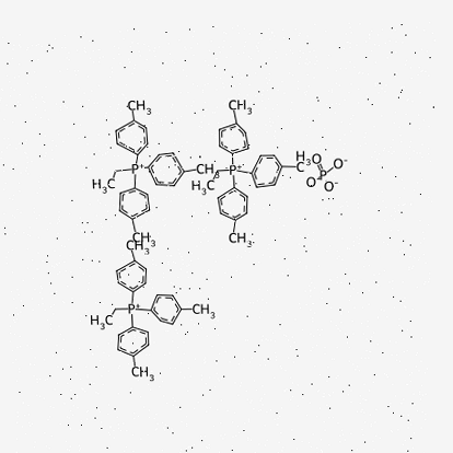 CC[P+](c1ccc(C)cc1)(c1ccc(C)cc1)c1ccc(C)cc1.CC[P+](c1ccc(C)cc1)(c1ccc(C)cc1)c1ccc(C)cc1.CC[P+](c1ccc(C)cc1)(c1ccc(C)cc1)c1ccc(C)cc1.O=P([O-])([O-])[O-]